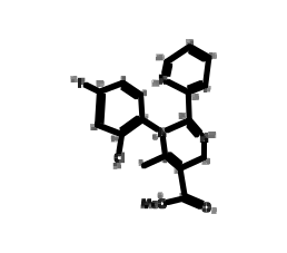 COC(=O)C1=C(C)N(c2ccc(F)cc2Cl)C(c2ccccn2)=NC1